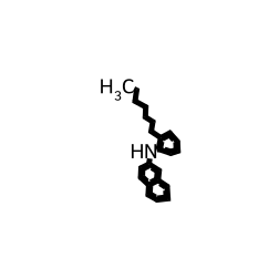 CCCCCCCc1ccccc1Nc1ccc2ccccc2c1